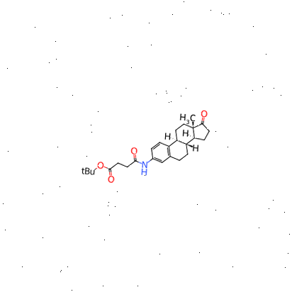 CC(C)(C)OC(=O)CCC(=O)Nc1ccc2c(c1)CC[C@@H]1[C@@H]2CC[C@]2(C)C(=O)CC[C@@H]12